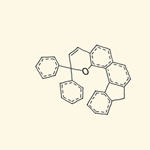 C1=CC(c2ccccc2)(c2ccccc2)Oc2c1ccc1ccc3c(c21)-c1ccccc1C3